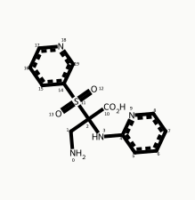 NCC(Nc1ccccn1)(C(=O)O)S(=O)(=O)c1cccnc1